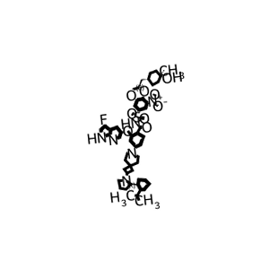 CC(C)c1ccccc1[C@H]1CCCN1C1CC2(CCN(c3ccc(C(=O)NS(=O)(=O)c4cc5c(c([N+](=O)[O-])c4)O[C@H](C[C@H]4CC[C@](C)(O)CC4)CO5)c(Oc4cnc5[nH]cc(F)c5c4)c3)CC2)C1